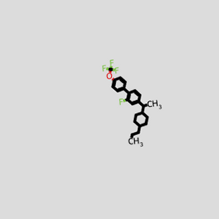 CCCC1CCC(C(C)c2ccc(-c3ccc(OC(F)(F)F)cc3)c(F)c2)CC1